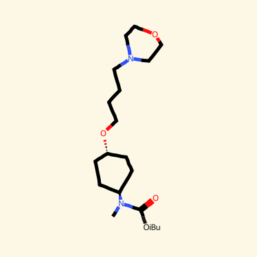 CC(C)COC(=O)N(C)[C@H]1CC[C@H](OCCCCN2CCOCC2)CC1